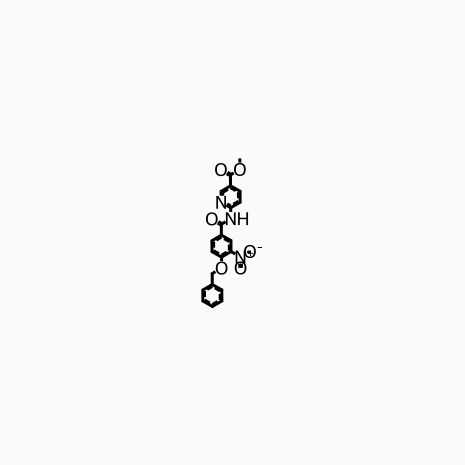 COC(=O)c1ccc(NC(=O)c2ccc(OCc3ccccc3)c([N+](=O)[O-])c2)nc1